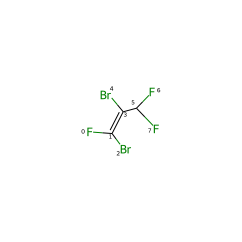 FC(Br)=C(Br)C(F)F